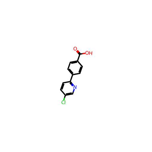 O=C(O)c1ccc(-c2ccc(Cl)cn2)cc1